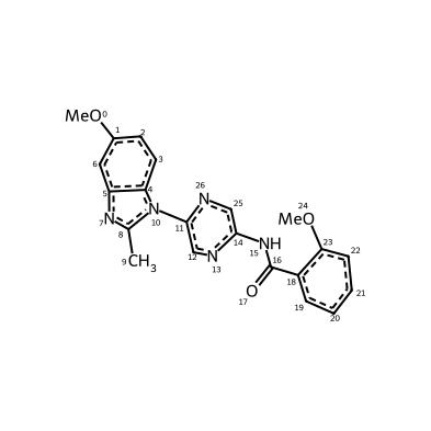 COc1ccc2c(c1)nc(C)n2-c1cnc(NC(=O)c2ccccc2OC)cn1